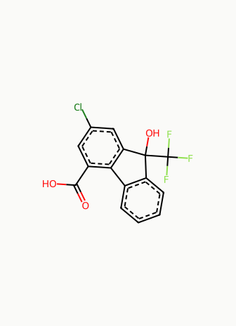 O=C(O)c1cc(Cl)cc2c1-c1ccccc1C2(O)C(F)(F)F